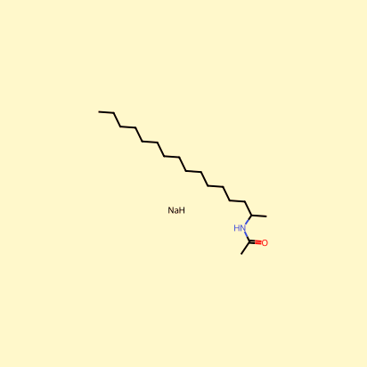 CCCCCCCCCCCCCCC(C)NC(C)=O.[NaH]